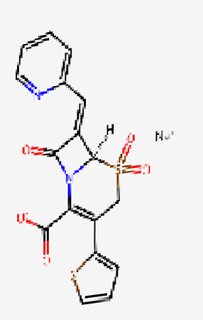 O=C([O-])C1=C(c2cccs2)CS(=O)(=O)[C@@H]2/C(=C/c3ccccn3)C(=O)N12.[Na+]